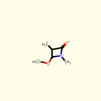 CC1C(=O)N(C)C1OS(=O)(=O)O